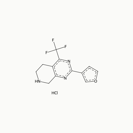 Cl.FC(F)(F)c1nc(-c2ccoc2)nc2c1CCNC2